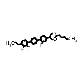 CCCCCC1OCC(c2ccc(-c3ccc(-c4ccc(CCC)c(F)c4F)cc3)c(F)c2)CO1